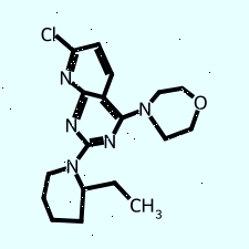 CCC1CCCCN1c1nc(N2CCOCC2)c2ccc(Cl)nc2n1